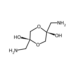 NC[C@]1(O)CO[C@](O)(CN)CO1